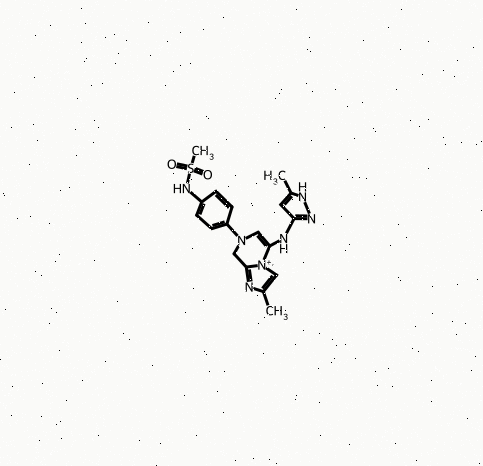 CC1=C[N+]2C(Nc3cc(C)[nH]n3)=CN(c3ccc(NS(C)(=O)=O)cc3)CC2=N1